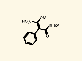 CCCCCCCC(=O)C(=C(OC)C(=O)O)c1ccccc1